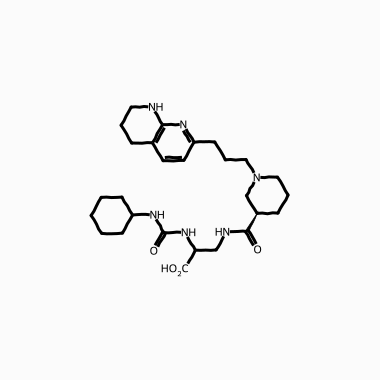 O=C(NC1CCCCC1)NC(CNC(=O)[C@@H]1CCCN(CCCc2ccc3c(n2)NCCC3)C1)C(=O)O